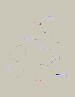 NC(=O)c1cc(F)c(N[C@@H]2CCOC[C@@H]2N)nc1Nc1ccc2ncccc2c1